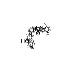 Cc1ccc(F)c2cc(C(=O)Nc3cccc(N4CCC(O)(C5CCN(C)CC5)CC4)c3)[nH]c12